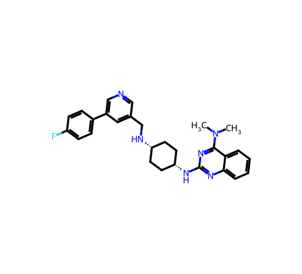 CN(C)c1nc(N[C@H]2CC[C@@H](NCc3cncc(-c4ccc(F)cc4)c3)CC2)nc2ccccc12